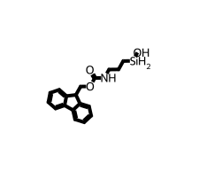 O=C(NCCC[SiH2]O)OCC1c2ccccc2-c2ccccc21